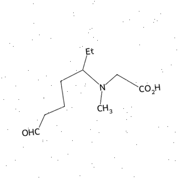 CCC(CCCC=O)N(C)CC(=O)O